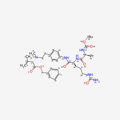 C=C(C)[C@@H](C(=O)OCc1ccccc1)N(C)CCc1ccc(NC(=O)[C@H](CCCNC(N)=O)NC(=O)[C@@H](NC(=O)OC(C)(C)C)C(C)C)cc1